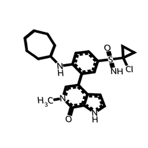 Cn1cc(-c2cc(S(=N)(=O)C3(Cl)CC3)ccc2NC2CCCCCC2)c2cc[nH]c2c1=O